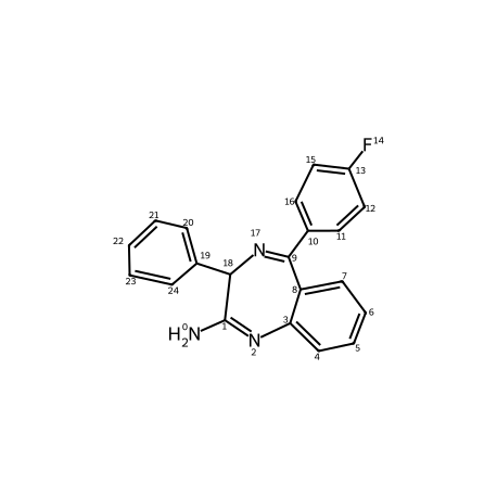 NC1=Nc2ccccc2C(c2ccc(F)cc2)=NC1c1ccccc1